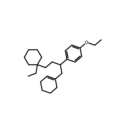 CCOc1ccc(C(CCC2(CC)CCCCC2)CC2=CCCCC2)cc1